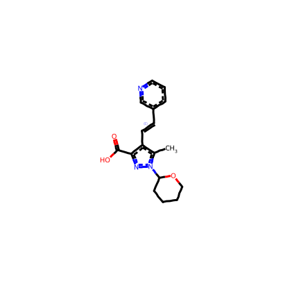 Cc1c(/C=C/c2cccnc2)c(C(=O)O)nn1C1CCCCO1